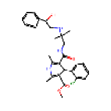 COC(=O)C1=C(C)NC(C)=C(C(=O)NCC(C)(C)NCC(O)c2ccccc2)C1c1ccccc1Cl